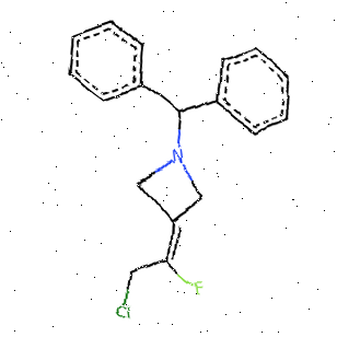 FC(CCl)=C1CN(C(c2ccccc2)c2ccccc2)C1